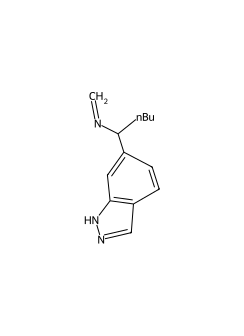 C=NC(CCCC)c1ccc2cn[nH]c2c1